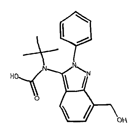 CC(C)(C)N(C(=O)O)c1c2cccc(CO)c2nn1-c1ccccc1